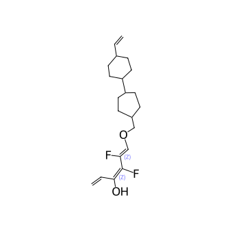 C=C/C(O)=C(F)\C(F)=C\OCC1CCC(C2CCC(C=C)CC2)CC1